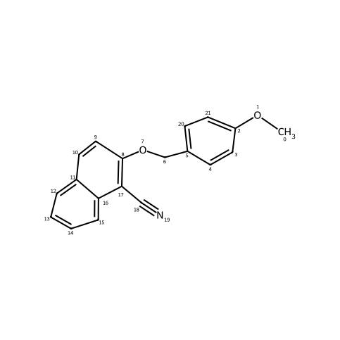 COc1ccc(COc2ccc3ccccc3c2C#N)cc1